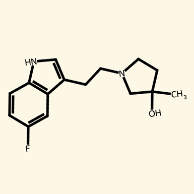 CC1(O)CCN(CCc2c[nH]c3ccc(F)cc23)C1